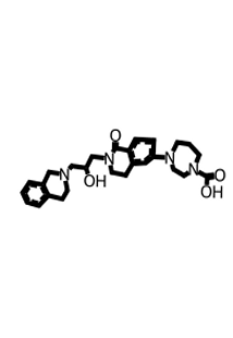 O=C(O)N1CCCN(c2ccc3c(c2)CCN(CC(O)CN2CCc4ccccc4C2)C3=O)CC1